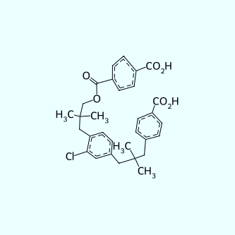 CC(C)(Cc1ccc(C(=O)O)cc1)Cc1ccc(CC(C)(C)COC(=O)c2ccc(C(=O)O)cc2)c(Cl)c1